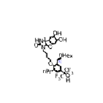 CCCCCC/C=C/c1cc(C(O)(C(F)(F)F)C(F)(F)F)cc(CCC)c1OCCCCN1C(=O)NC(C)(c2ccc(O)c(O)c2)C1=O